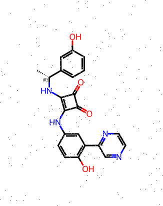 C[C@@H](Nc1c(Nc2ccc(O)c(-c3cnccn3)c2)c(=O)c1=O)c1cccc(O)c1